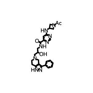 CC(=O)N1CC(Nc2cc(C(=O)NCC(O)CN3CCc4[nH]nc(-c5ccccc5)c4C3)ncn2)C1